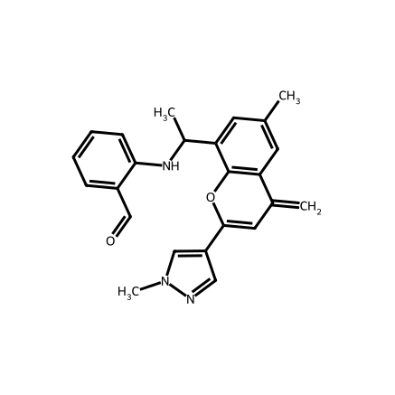 C=C1C=C(c2cnn(C)c2)Oc2c1cc(C)cc2C(C)Nc1ccccc1C=O